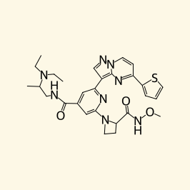 CCN(CC)C(C)CNC(=O)c1cc(-c2cnn3ccc(-c4cccs4)nc23)nc(N2CCC2C(=O)NOC)c1